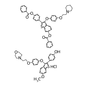 COc1ccc2c(Oc3ccc(OCCN4CCOCC4)cc3)c(-c3ccc(O)cc3)sc2c1.Cl.O=C(Oc1ccc(-c2sc3cc(OC(=O)c4ccccc4)ccc3c2Oc2ccc(OCCN3CCCCC3)cc2)cc1)c1ccccc1